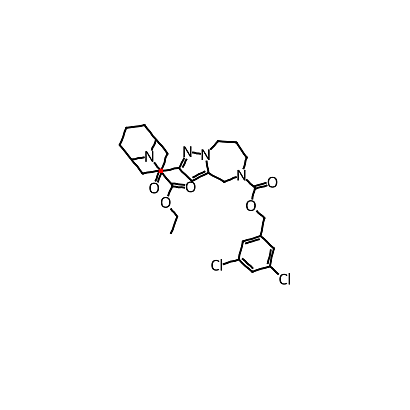 CCOC(=O)C1CC2CCCC(C1)N2C(=O)c1cc2n(n1)CCCN(C(=O)OCc1cc(Cl)cc(Cl)c1)C2